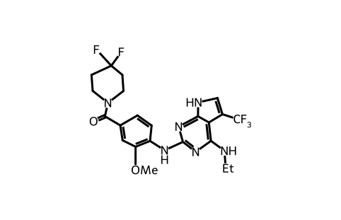 CCNc1nc(Nc2ccc(C(=O)N3CCC(F)(F)CC3)cc2OC)nc2[nH]cc(C(F)(F)F)c12